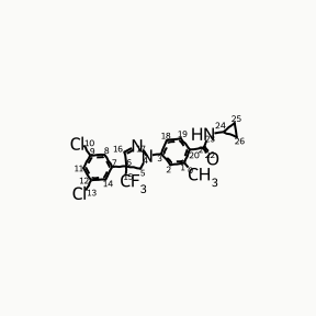 Cc1cc(N2CC(c3cc(Cl)cc(Cl)c3)(C(F)(F)F)C=N2)ccc1C(=O)NC1CC1